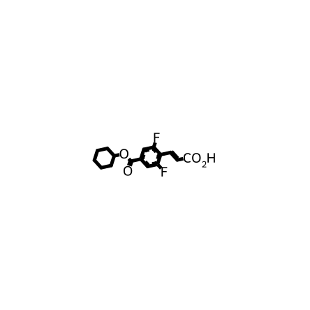 O=C(O)/C=C/c1c(F)cc(C(=O)OC2CCCCC2)cc1F